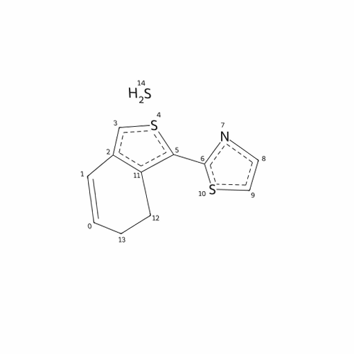 C1=Cc2csc(-c3nccs3)c2CC1.S